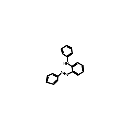 c1ccc(N=Nc2ccccc2Nc2ccccc2)cc1